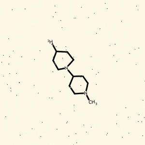 [2H]C1CCN(C2CCN(C)CC2)CC1